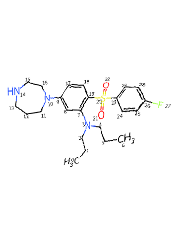 CCCN(CCC)c1cc(N2CCCNCC2)ccc1S(=O)(=O)c1ccc(F)cc1